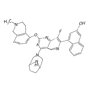 CN1CCc2c(cccc2Oc2nc(N3CC4CCC(C3)N4)c3cnc(-c4cc(O)cc5ccccc45)c(F)c3n2)C1